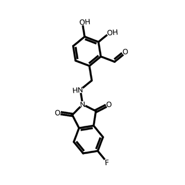 O=Cc1c(CNN2C(=O)c3ccc(F)cc3C2=O)ccc(O)c1O